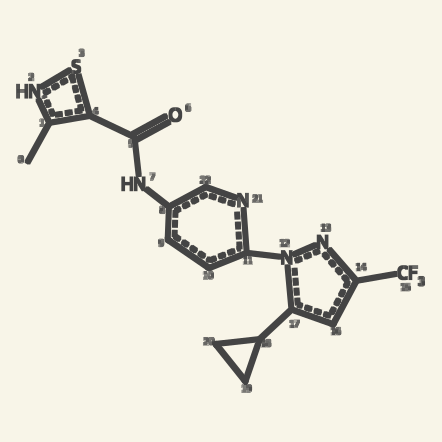 Cc1[nH]sc1C(=O)Nc1ccc(-n2nc(C(F)(F)F)cc2C2CC2)nc1